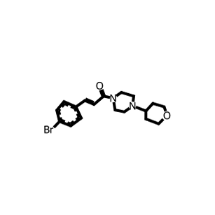 O=C(/C=C/c1ccc(Br)cc1)N1CCN(C2CCOCC2)CC1